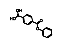 O=C(Oc1ccccc1)c1ccc(B(O)O)cc1